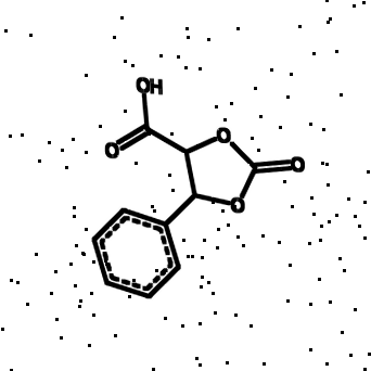 O=C1OC(C(=O)O)C(c2ccccc2)O1